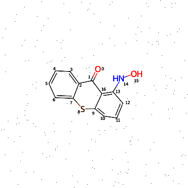 O=c1c2ccccc2sc2cccc(NO)c12